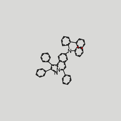 c1ccc(-c2ccccc2N(c2ccccc2)c2ccc3c(c2)cc(-c2ccccc2)n2nc(-c4ccccc4)c(-c4ccccc4)c32)cc1